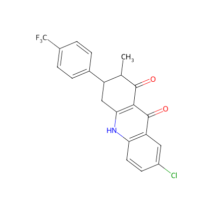 CC1C(=O)c2c([nH]c3ccc(Cl)cc3c2=O)CC1c1ccc(C(F)(F)F)cc1